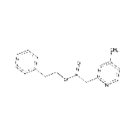 Cc1ccnc(CC(=O)OCCc2ccccc2)c1